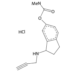 C#CCNC1CCc2ccc(OC(=O)NC)cc21.Cl